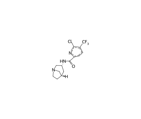 O=C(N[C@@H]1C[C@@H]2CCN(C2)C1)c1ccc(C(F)(F)F)c(Cl)n1